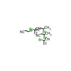 CC(Br)CC#N.CC(Br)CC#N.CCC(Br)C#N.CCC(Br)C#N.N#CCCBr